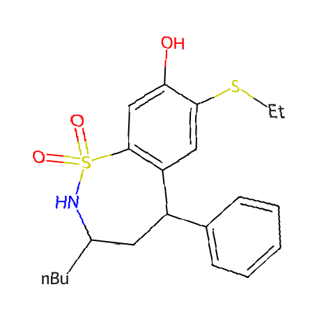 CCCCC1CC(c2ccccc2)c2cc(SCC)c(O)cc2S(=O)(=O)N1